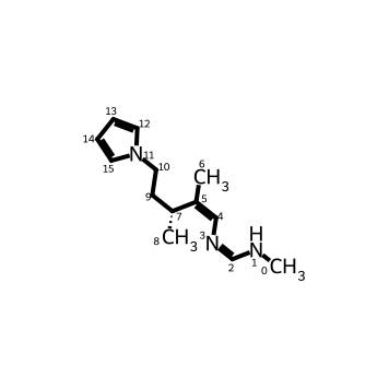 CN/C=N\C=C(\C)[C@H](C)CCn1cccc1